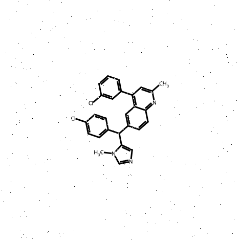 Cc1cc(-c2cccc(Cl)c2)c2cc(C(c3ccc(Cl)cc3)c3cncn3C)ccc2n1